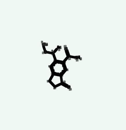 CC(=O)N(OC(C)(C)C)c1cc2c(cc1C(N)=O)C(=O)CC2